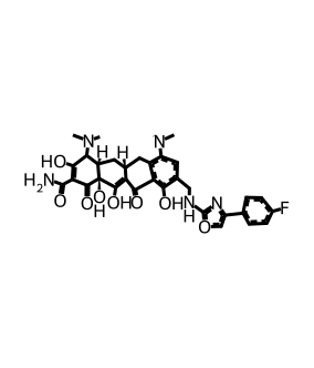 CN(C)c1cc(CNc2nc(-c3ccc(F)cc3)co2)c(O)c2c1C[C@H]1C[C@H]3C(N(C)C)C(O)=C(C(N)=O)C(=O)[C@@]3(O)C(O)=C1C2=O